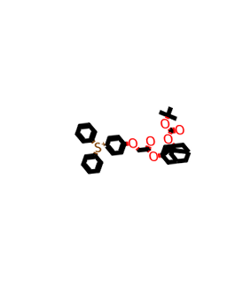 CC(C)(C)OC(=O)OC12CC3CC(CC(OC(=O)COc4ccc([S+](c5ccccc5)c5ccccc5)cc4)(C3)C1)C2